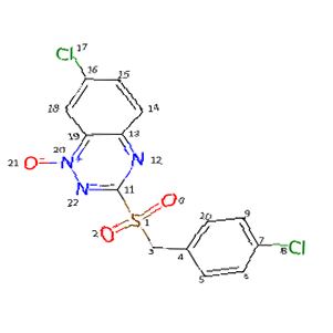 O=S(=O)(Cc1ccc(Cl)cc1)c1nc2ccc(Cl)cc2[n+]([O-])n1